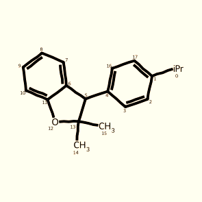 CC(C)c1ccc(C2c3ccccc3OC2(C)C)cc1